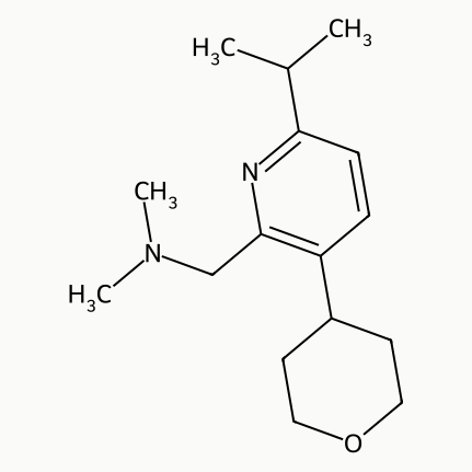 CC(C)c1ccc(C2CCOCC2)c(CN(C)C)n1